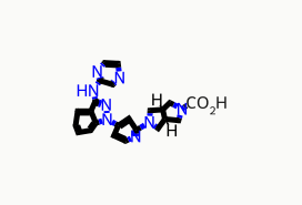 O=C(O)N1C[C@@H]2CN(c3cc(-n4nc(Nc5cnccn5)c5ccccc54)ccn3)C[C@@H]2C1